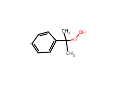 CC(C)(OO)c1cc[c]cc1